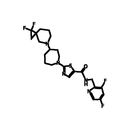 O=C(NCc1ncc(F)cc1F)c1cnc(N2CCCC(N3CCCC4(C3)CC4(F)F)CC2)s1